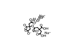 O.O.O=C([O-])CC(CC(=O)[O-])(OC(=O)CC(O)(CC(=O)O)C(=O)O)C(=O)[O-].[Na+].[Na+].[Na+]